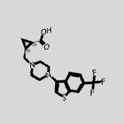 O=C(O)[C@H]1C[C@@H]1CN1CCN(c2csc3cc(C(F)(F)F)ccc23)CC1